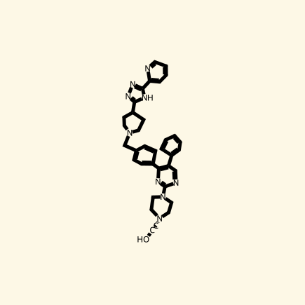 OCCN1CCN(c2ncc(-c3ccccc3)c(-c3ccc(CN4CCC(c5nnc(-c6ccccn6)[nH]5)CC4)cc3)n2)CC1